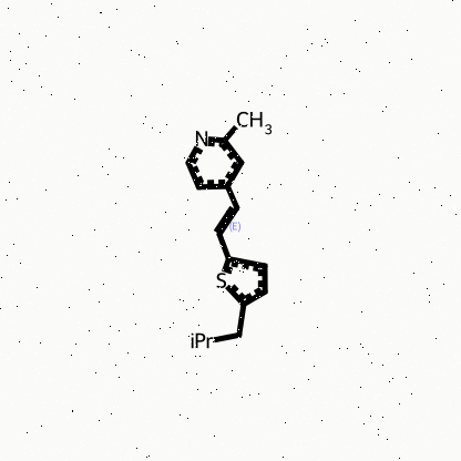 Cc1cc(/C=C/c2ccc(CC(C)C)s2)ccn1